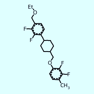 CCOCc1ccc(C2CCC(COc3ccc(C)c(F)c3F)CC2)c(F)c1F